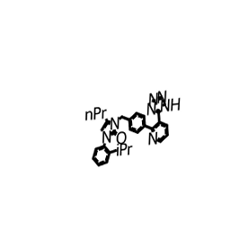 CCCc1cn(-c2ccccc2C(C)C)c(=O)n1Cc1ccc(-c2ncccc2-c2nnn[nH]2)cc1